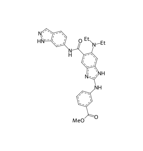 CCN(CC)c1cc2[nH]c(Nc3cccc(C(=O)OC)c3)nc2cc1C(=O)Nc1ccc2cn[nH]c2c1